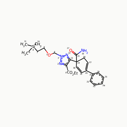 CCOC(=O)c1nn(COCC[Si](C)(C)C)nc1C1(C(N)=O)C=CC(c2ccccc2)=CC1